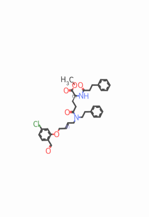 COC(=O)[C@H](CCC(=O)N(C/C=C/COc1cc(Cl)ccc1C=O)CCc1ccccc1)NC(=O)CCc1ccccc1